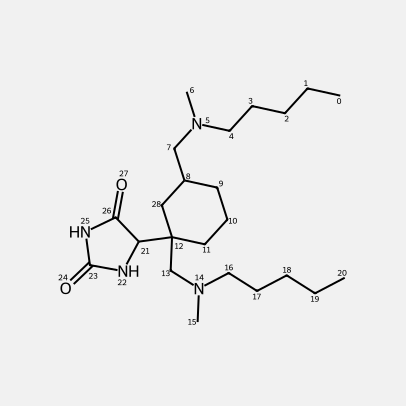 CCCCCN(C)CC1CCCC(CN(C)CCCCC)(C2NC(=O)NC2=O)C1